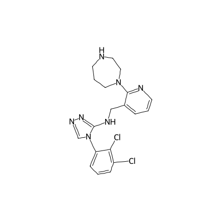 Clc1cccc(-n2cnnc2NCc2cccnc2N2CCCNCC2)c1Cl